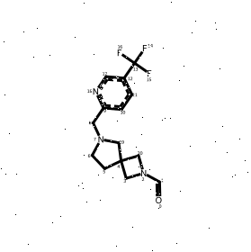 O=CN1CC2(CCN(Cc3ccc(C(F)(F)F)cn3)C2)C1